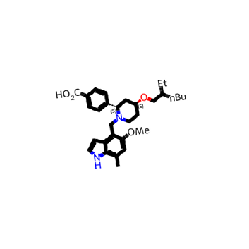 CCCCC(CC)CO[C@H]1CCN(Cc2c(OC)cc(C)c3[nH]ccc23)[C@H](c2ccc(C(=O)O)cc2)C1